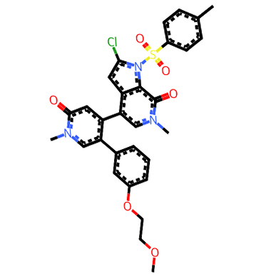 COCCOc1cccc(-c2cn(C)c(=O)cc2-c2cn(C)c(=O)c3c2cc(Cl)n3S(=O)(=O)c2ccc(C)cc2)c1